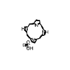 C1=Cc2cc3ccc(cc4nc(cc5ccc(cc1n2)[nH]5)C=C4)[nH]3.O=[N+]([O-])O